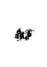 COc1cn(Cc2cn(-c3cccc(C(=O)O)c3)nn2)c(=O)cc1-c1cc(Cl)ccc1-n1cc(Cl)nn1